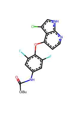 CC(C)COC(=O)Nc1cc(F)c(Oc2ccnc3[nH]cc(Cl)c23)c(F)c1